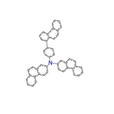 c1ccc2c(c1)ccc1cc(N(c3ccc(-c4cccc5c4ccc4ccccc45)cc3)c3ccc4c(ccc5ccccc54)c3)ccc12